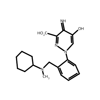 CN(Cc1ccccc1-n1cc(O)c(=N)c(C(=O)O)n1)C1CCCCC1